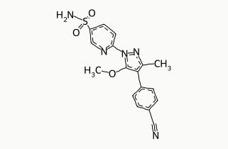 COc1c(-c2ccc(C#N)cc2)c(C)nn1-c1ccc(S(N)(=O)=O)cn1